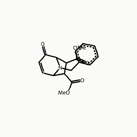 COC(=O)C1C(C(=O)OC)C2C(=O)C=CC1N2Cc1ccccc1